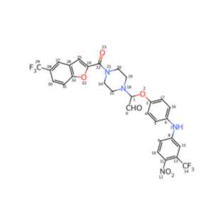 O=CC(Oc1ccc(Nc2ccc([N+](=O)[O-])c(C(F)(F)F)c2)cc1)N1CCN(C(=O)c2cc3cc(C(F)(F)F)ccc3o2)CC1